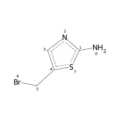 Nc1ncc(CBr)s1